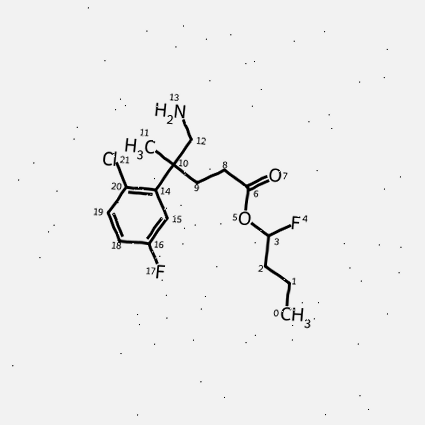 CCCC(F)OC(=O)CCC(C)(CN)c1cc(F)ccc1Cl